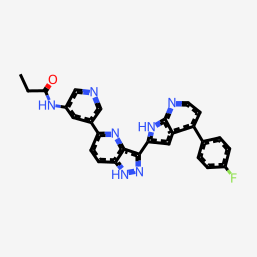 CCC(=O)Nc1cncc(-c2ccc3[nH]nc(-c4cc5c(-c6ccc(F)cc6)ccnc5[nH]4)c3n2)c1